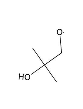 CC(C)(O)C[O]